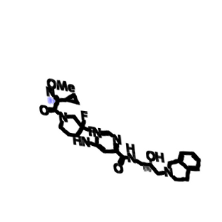 CO/N=C(/C(=O)N1CCC(Nc2cc(C(=O)NC[C@H](O)CN3CCc4ccccc4C3)ncn2)C(F)(F)C1)C1CC1